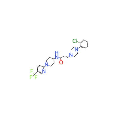 O=C(CCN1CCN(c2ccccc2Cl)CC1)NC1CCN(c2ccc(C(F)(F)F)cn2)CC1